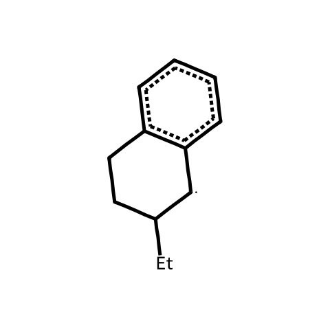 CCC1[CH]c2ccccc2CC1